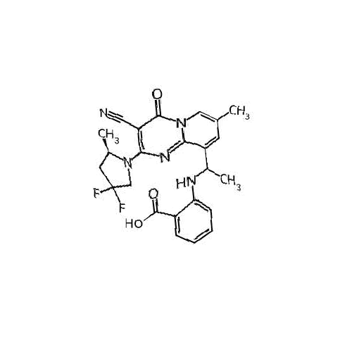 Cc1cc(C(C)Nc2ccccc2C(=O)O)c2nc(N3CC(F)(F)C[C@H]3C)c(C#N)c(=O)n2c1